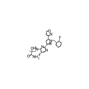 CN(CC(C)(O)C(N)=O)c1nc(-c2cc(-c3ccon3)n(Cc3ccccc3F)n2)ncc1F